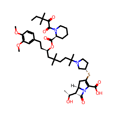 CCC(C)(C)C(=O)C(=O)N1CCCC[C@H]1C(=O)O[C@H](CCc1ccc(OC)c(OC)c1)CC(C)(C)CCC(C)(C)N1CC[C@H](SC2=C(C(=O)O)N3C(=O)[C@H]([C@@H](C)O)[C@H]3C2)C1